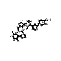 Cn1c(-c2ccnc(N3CCC(O)CC3)c2)nnc1-c1cnn2ccc(N3CCC[C@@H]3c3cc(F)ccc3F)nc12